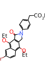 CCOc1c2c(c(OCC)c3cc(Br)ccc13)C(=O)N(c1ccc(CC(=O)O)cc1)C2